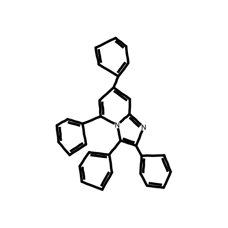 c1ccc(-c2cc(-c3ccccc3)n3c(-c4ccccc4)c(-c4ccccc4)nc3c2)cc1